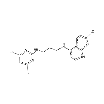 Cc1cc(Cl)nc(NCCCNc2ccnc3cc(Cl)ccc23)n1